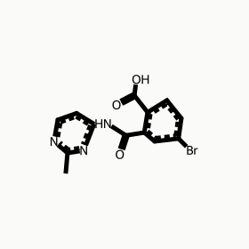 Cc1nccc(NC(=O)c2cc(Br)ccc2C(=O)O)n1